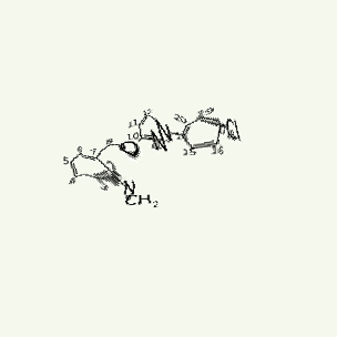 C=Nc1ccccc1COc1ccn(-c2ccc(Cl)cc2)n1